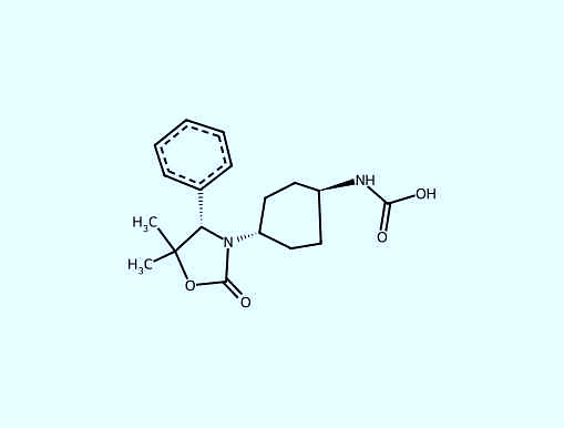 CC1(C)OC(=O)N([C@H]2CC[C@H](NC(=O)O)CC2)[C@H]1c1ccccc1